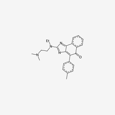 CCN(CCN(C)C)C1=NC2=C(c3ccc(C)cc3)C(=O)c3ccccc3C2=N1